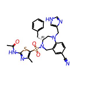 CC(=O)Nc1nc(C)c(S(=O)(=O)N2Cc3cc(C#N)ccc3N(Cc3c[nH]cn3)C[C@H]2Cc2ccccc2)s1